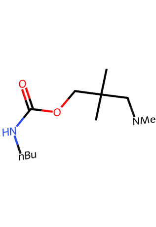 CCCCNC(=O)OCC(C)(C)CNC